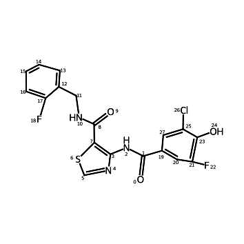 O=C(Nc1ncsc1C(=O)NCc1ccccc1F)c1cc(F)c(O)c(Cl)c1